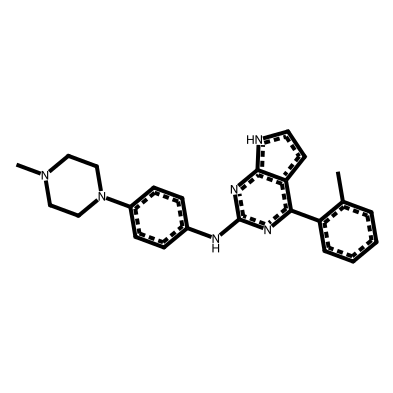 Cc1ccccc1-c1nc(Nc2ccc(N3CCN(C)CC3)cc2)nc2[nH]ccc12